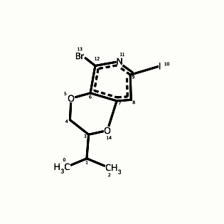 CC(C)C1COc2c(cc(I)nc2Br)O1